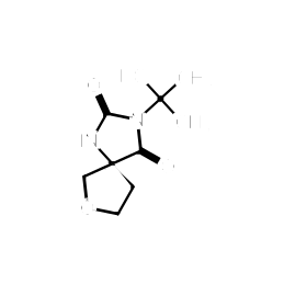 CC(C)(C)N1C(=O)N[C@]2(CCOC2)C1=O